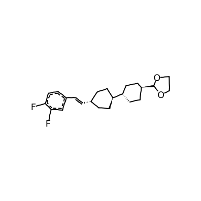 Fc1ccc(C=C[C@H]2CC[C@H]([C@H]3CC[C@H](C4OCCO4)CC3)CC2)cc1F